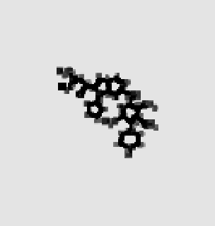 Cc1nc(Nc2ncc3cc(C(=O)CN(C)C)n(C4CCCC4)c3n2)c(C)c(C)c1N1CCNCC1